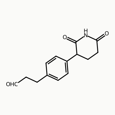 O=CCCc1ccc(C2CCC(=O)NC2=O)cc1